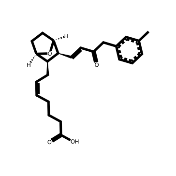 Cc1cccc(CC(=O)/C=C/[C@H]2[C@@H](C/C=C\CCCC(=O)O)[C@H]3CC[C@@H]2O3)c1